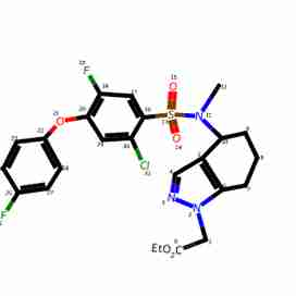 CCOC(=O)Cn1ncc2c1CCCC2N(C)S(=O)(=O)c1cc(F)c(Oc2ccc(F)cc2)cc1Cl